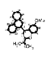 C=C(C)C(=O)OC(c1cccc(OC)c1)c1cc2ccccc2c2ccccc12